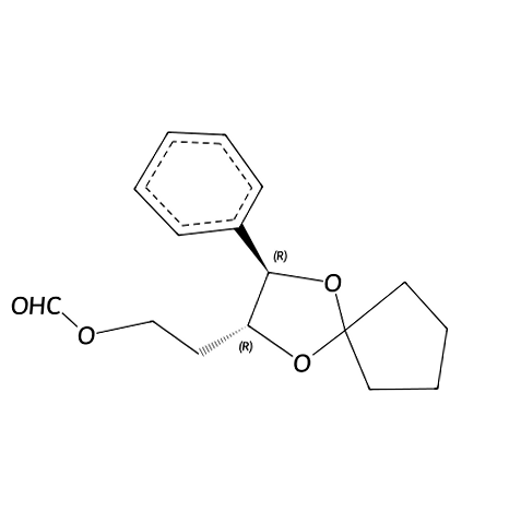 O=COCC[C@H]1OC2(CCCC2)O[C@@H]1c1ccccc1